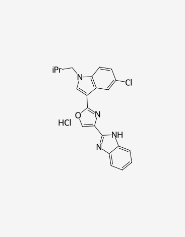 CC(C)Cn1cc(-c2nc(-c3nc4ccccc4[nH]3)co2)c2cc(Cl)ccc21.Cl